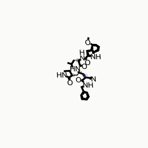 COc1cccc2[nH]c(C(=O)N[C@@H](CC(C)C)C(=O)N[C@H](/C=C(/C#N)C(=O)NCc3ccccc3)C[C@@H]3CCNC3=O)cc12